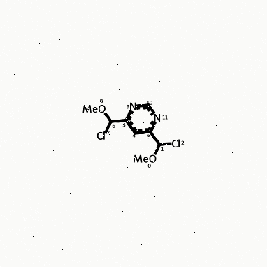 COC(Cl)c1cc(C(Cl)OC)ncn1